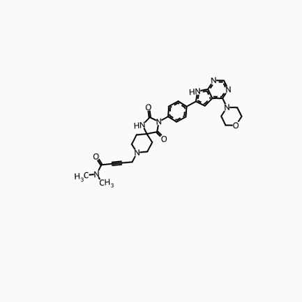 CN(C)C(=O)C#CCN1CCC2(CC1)NC(=O)N(c1ccc(-c3cc4c(N5CCOCC5)ncnc4[nH]3)cc1)C2=O